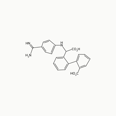 N=C(N)c1ccc(NC(C(=O)O)c2ccccc2-c2ccccc2C(=O)O)cc1